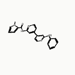 Cn1cccc1C(=O)Nc1cc(-c2ccnc(Nc3ccccc3)c2)ccn1